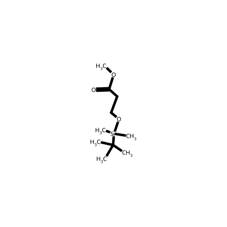 COC(=O)CCO[Si](C)(C)C(C)(C)C